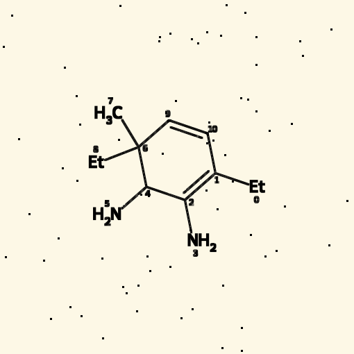 CCC1=C(N)C(N)C(C)(CC)C=C1